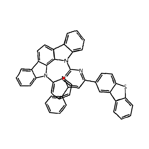 c1ccc(-c2cc(-c3ccc4sc5ccccc5c4c3)nc(-n3c4ccccc4c4ccc5c6ccccc6n(-c6ccccc6)c5c43)n2)cc1